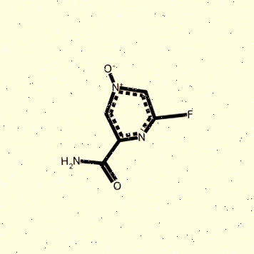 NC(=O)c1c[n+]([O-])cc(F)n1